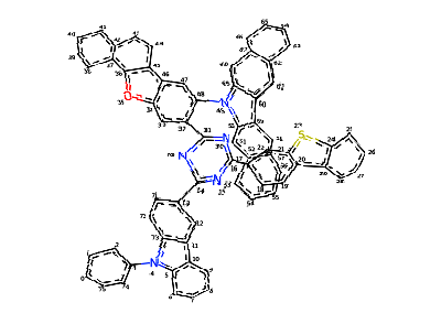 c1ccc(-n2c3ccccc3c3cc(-c4nc(-c5ccc6c(c5)sc5ccccc56)nc(-c5cc6oc7c8ccccc8ccc7c6cc5-n5c6cc7ccccc7cc6c6cc7ccccc7cc65)n4)ccc32)cc1